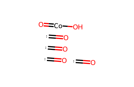 [C]=O.[C]=O.[C]=O.[C]=O.[O]=[Co][OH]